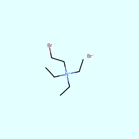 CC[N+](CC)(CC)CCBr.[Br-]